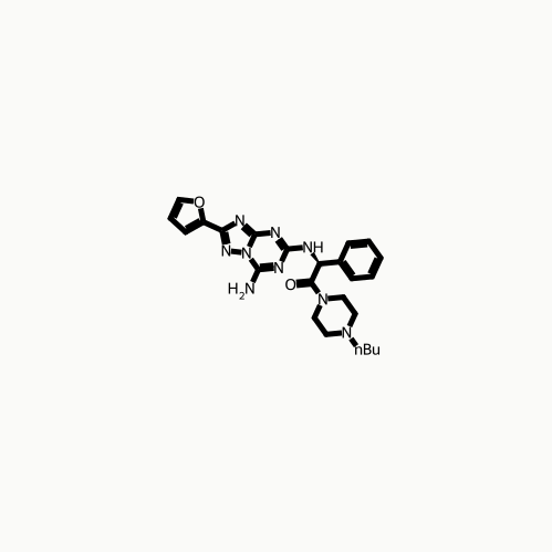 CCCCN1CCN(C(=O)[C@@H](Nc2nc(N)n3nc(-c4ccco4)nc3n2)c2ccccc2)CC1